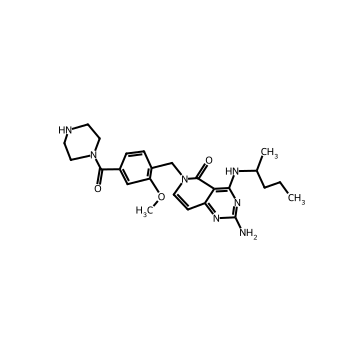 CCCC(C)Nc1nc(N)nc2ccn(Cc3ccc(C(=O)N4CCNCC4)cc3OC)c(=O)c12